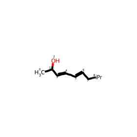 CC(O)C=CC=CCC(C)C